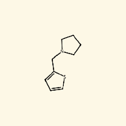 c1csc(CN2CCCC2)c1